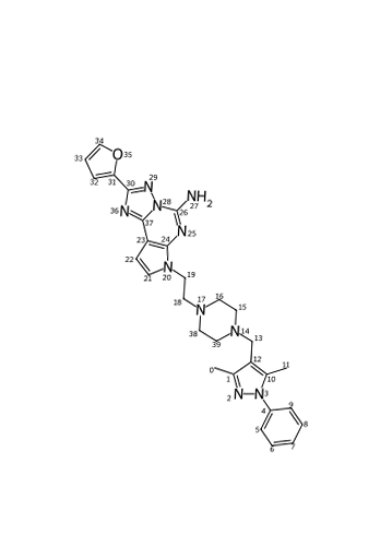 Cc1nn(-c2ccccc2)c(C)c1CN1CCN(CCn2ccc3c2nc(N)n2nc(-c4ccco4)nc32)CC1